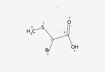 CSC(Br)C(=O)O